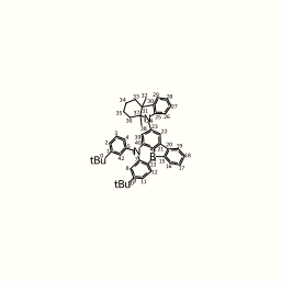 CC(C)(C)c1cccc(N2c3cc(C(C)(C)C)ccc3B3c4ccccc4-c4cc(N5c6ccccc6C6(C)CCCCC56C)cc2c43)c1